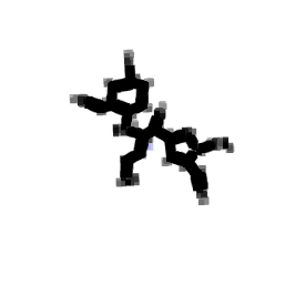 Cn1nc(C(=O)/C(=C/C=N)Nc2ccc(F)cc2C=O)cc1C#N